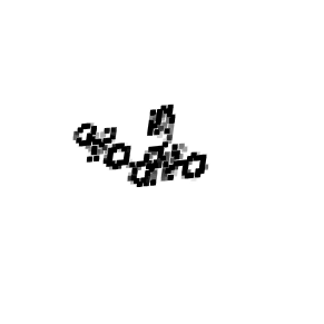 O=S(=O)(c1ccc(-c2ccnc3c2cc(Cn2cnnn2)n3S(=O)(=O)c2ccccc2)cc1)N1CCCC1